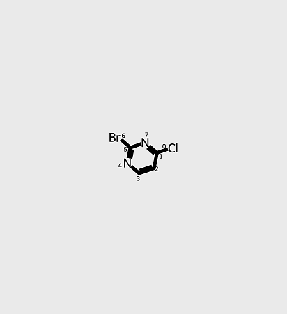 Clc1ccnc(Br)n1